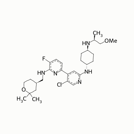 COC[C@H](C)N[C@H]1CC[C@H](Nc2cc(-c3ccc(F)c(NC[C@@H]4CCOC(C)(C)C4)n3)c(Cl)cn2)CC1